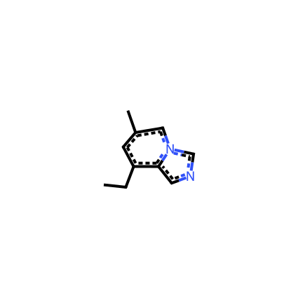 CCc1cc(C)cn2cncc12